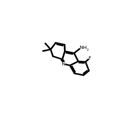 CC1(C)C=Cc2c(nc3cccc(F)c3c2N)C1